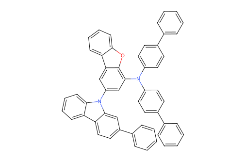 c1ccc(-c2ccc(N(c3ccc(-c4ccccc4)cc3)c3cc(-n4c5ccccc5c5ccc(-c6ccccc6)cc54)cc4c3oc3ccccc34)cc2)cc1